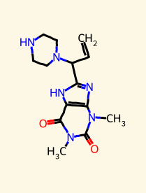 C=CC(c1nc2c([nH]1)c(=O)n(C)c(=O)n2C)N1CCNCC1